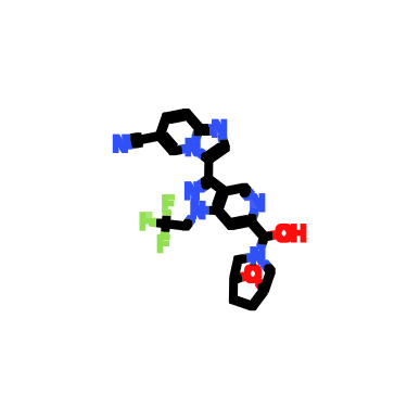 N#Cc1ccc2ncc(-c3nn(CC(F)(F)F)c4cc(C(O)N5CC6CCC(C5)O6)ncc34)n2c1